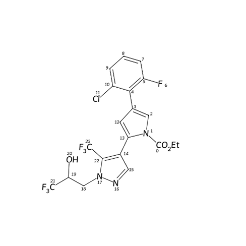 CCOC(=O)n1cc(-c2c(F)cccc2Cl)cc1-c1cnn(CC(O)C(F)(F)F)c1C(F)(F)F